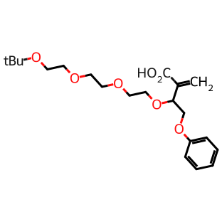 C=C(C(=O)O)C(COc1ccccc1)OCCOCCOCCOC(C)(C)C